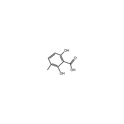 Cc1ccc(O)c(C(=O)O)c1O